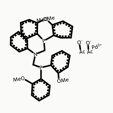 CC(=O)[O-].CC(=O)[O-].COc1ccccc1P(CN(CP(c1ccccc1OC)c1ccccc1OC)c1ccccc1)c1ccccc1OC.[Pd+2]